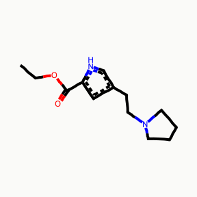 CCOC(=O)c1cc(CCN2CCCC2)c[nH]1